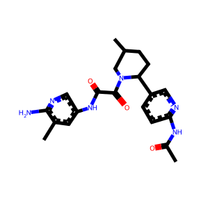 CC(=O)Nc1ccc(C2CCC(C)CN2C(=O)C(=O)Nc2cnc(N)c(C)c2)cn1